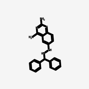 Nc1nc(N)c2cc(NNC(c3ccccc3)c3ccccc3)ccc2n1